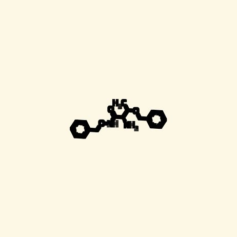 CC(OCc1ccccc1)[C@@H](N)C(=O)NOCc1ccccc1